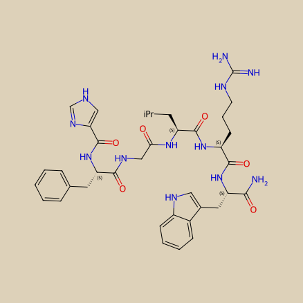 CC(C)C[C@H](NC(=O)CNC(=O)[C@H](Cc1ccccc1)NC(=O)c1c[nH]cn1)C(=O)N[C@@H](CCCNC(=N)N)C(=O)N[C@@H](Cc1c[nH]c2ccccc12)C(N)=O